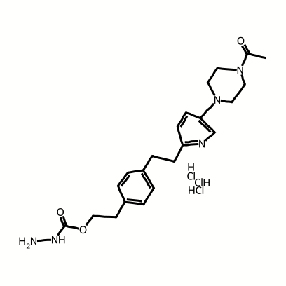 CC(=O)N1CCN(c2ccc(CCc3ccc(CCOC(=O)NN)cc3)nc2)CC1.Cl.Cl.Cl